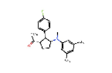 COC(=O)[C@H]1CC[C@H](N(C)c2cc(C(F)(F)F)cc(C(F)(F)F)c2)[C@@H]1c1ccc(F)cc1